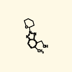 Cc1ccc2nn(C3CCCCO3)nc2c1CO